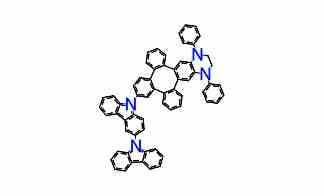 c1ccc(N2CCN(c3ccccc3)c3cc4c(cc32)-c2ccccc2-c2ccc(-n3c5ccccc5c5cc(-n6c7ccccc7c7ccccc76)ccc53)cc2-c2ccccc2-4)cc1